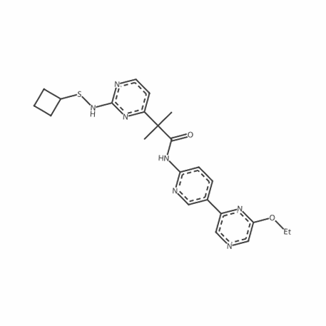 CCOc1cncc(-c2ccc(NC(=O)C(C)(C)c3ccnc(NSC4CCC4)n3)nc2)n1